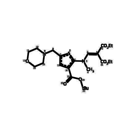 CCOC(=O)C(=CN(C)c1sc(CN2CCOCC2)cc1C(=O)OC(C)(C)C)C(=O)OCC